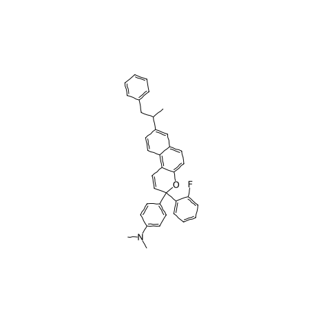 CC(Cc1ccccc1)c1ccc2c3c(ccc2c1)OC(c1ccc(N(C)C)cc1)(c1ccccc1F)C=C3